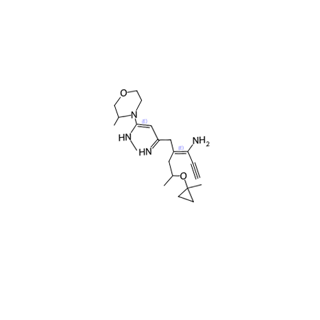 C#C/C(N)=C(/CC(=N)/C=C(\NC)N1CCOCC1C)CC(C)OC1(C)CC1